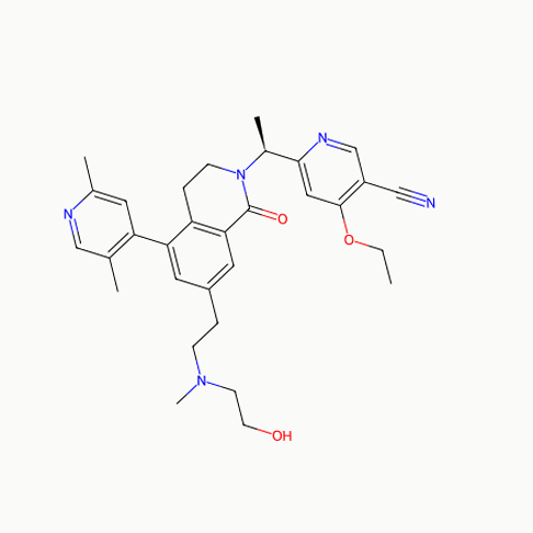 CCOc1cc([C@H](C)N2CCc3c(cc(CCN(C)CCO)cc3-c3cc(C)ncc3C)C2=O)ncc1C#N